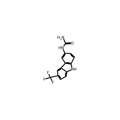 NC(=O)Nc1ccc2[nH]c3ccc(C(F)(F)F)cc3c2c1